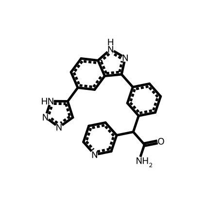 NC(=O)C(c1cccnc1)c1cccc(-c2n[nH]c3ccc(-c4cnn[nH]4)cc23)c1